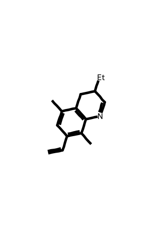 C=Cc1cc(C)c2c(c1C)N=CC(CC)C2